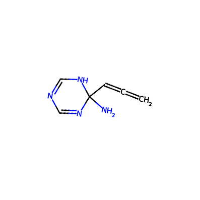 C=C=CC1(N)N=CN=CN1